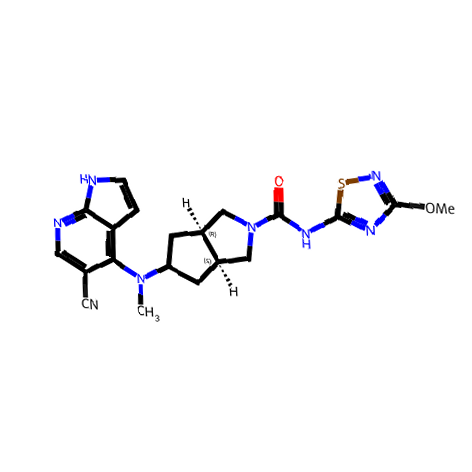 COc1nsc(NC(=O)N2C[C@H]3CC(N(C)c4c(C#N)cnc5[nH]ccc45)C[C@H]3C2)n1